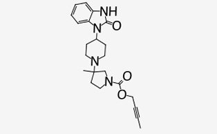 CC#CCOC(=O)N1CCC(C)(N2CCC(n3c(=O)[nH]c4ccccc43)CC2)C1